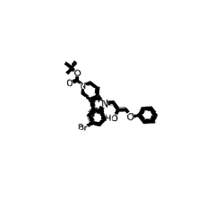 CC(C)(C)OC(=O)N1CCc2c(c3cc(Br)ccc3n2CC(O)COc2ccccc2)C1